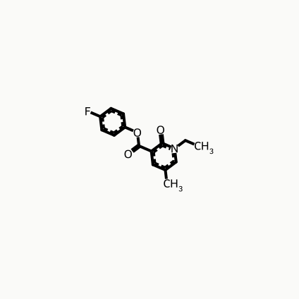 CCn1cc(C)cc(C(=O)Oc2ccc(F)cc2)c1=O